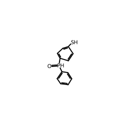 O=[PH](c1ccccc1)c1ccc(S)cc1